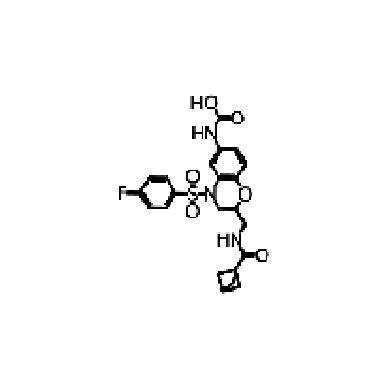 O=C(O)Nc1ccc2c(c1)N(S(=O)(=O)c1ccc(F)cc1)CC(CNC(=O)C13CC(C1)C3)O2